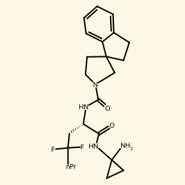 CCCC(F)(F)C[C@H](NC(=O)N1CCC2(CCc3ccccc32)C1)C(=O)NC1(N)CC1